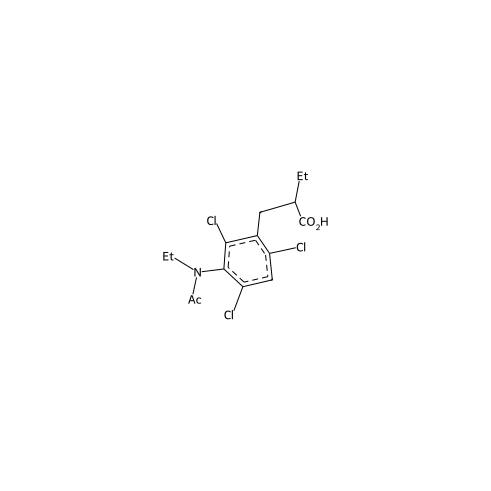 CCC(Cc1c(Cl)cc(Cl)c(N(CC)C(C)=O)c1Cl)C(=O)O